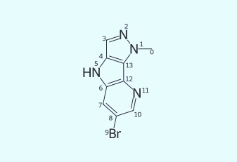 Cn1ncc2[nH]c3cc(Br)cnc3c21